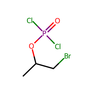 CC(CBr)OP(=O)(Cl)Cl